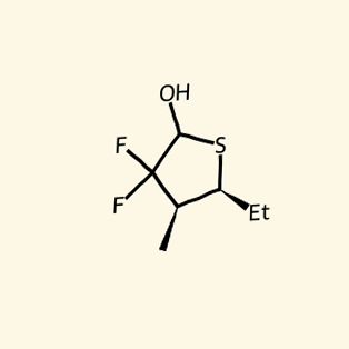 CC[C@@H]1SC(O)C(F)(F)[C@@H]1C